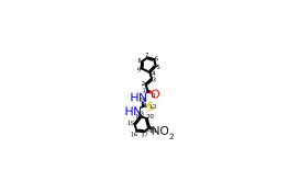 O=C(C=Cc1ccccc1)NC(=S)Nc1cccc([N+](=O)[O-])c1